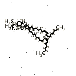 C=C1[C@H](N(C)C)CC[C@H]2OC(CCCCCCCC/C=C\C/C=C\CCCCC)(CCCCCCCC/C=C\C/C=C\CCCCC)O[C@@H]12